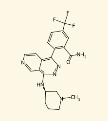 CN1CCC[C@@H](Nc2nnc(-c3ccc(C(F)(F)F)cc3C(N)=O)c3ccncc23)C1